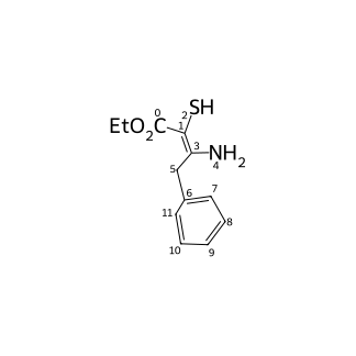 CCOC(=O)/C(S)=C(/N)Cc1ccccc1